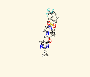 O=S(=O)(c1cccc(C(F)(F)F)c1)N1CCN2C[C@H](Oc3ccnc(C4CC4)n3)C[C@H]2C1